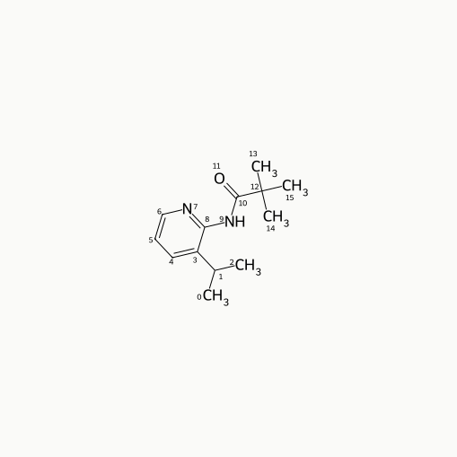 CC(C)c1cccnc1NC(=O)C(C)(C)C